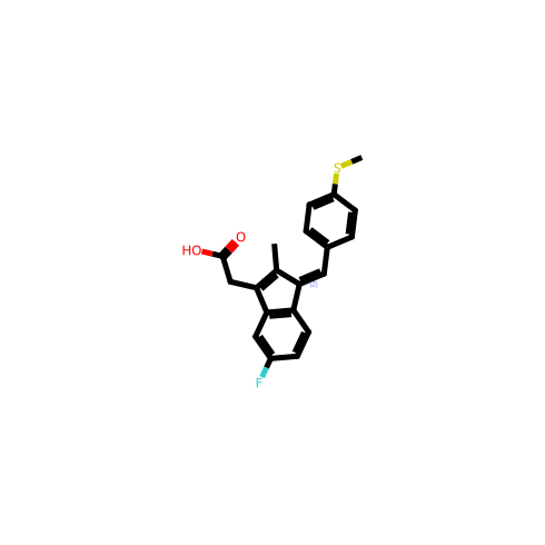 CSc1ccc(/C=C2\C(C)=C(CC(=O)O)c3cc(F)ccc32)cc1